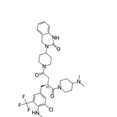 CNc1c(Cl)cc(C[C@@H](CC(=O)N2CCC(N3Cc4ccccc4NC3=O)CC2)C(=O)N2CCC(N(C)C)CC2)cc1C(F)(F)F